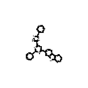 c1ccc(-c2nc(-c3ccc4c(c3)oc3ccccc34)cc(-c3nnc(-c4ccccc4)s3)n2)cc1